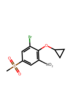 CS(=O)(=O)c1cc(Br)c(OC2CC2)c([N+](=O)[O-])c1